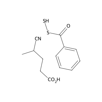 CC(C#N)CCC(=O)O.O=C(SS)c1ccccc1